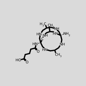 CC1CNC[C@]2(N)CNCC(C)CNC[C@](NC(=O)CCCC(=O)O)(CNC1)CNCC(C)CN2